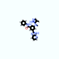 Cc1cn[nH]c1N(C)c1cc(C(=O)Nc2ccccc2)cc(-c2nc3cccnc3[nH]2)c1